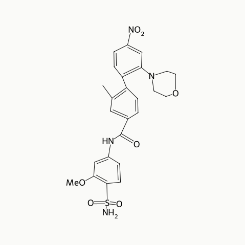 COc1cc(NC(=O)c2ccc(-c3ccc([N+](=O)[O-])cc3N3CCOCC3)c(C)c2)ccc1S(N)(=O)=O